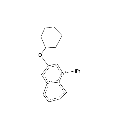 CC(C)[n+]1cc(OC2CCCCC2)cc2ccccc21